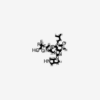 CC(C)CCn1c(=O)c2c(nc(N3CCC4CNCC43)n2Cc2ncco2)n(C)c1=O.O=C(O)C(F)(F)F